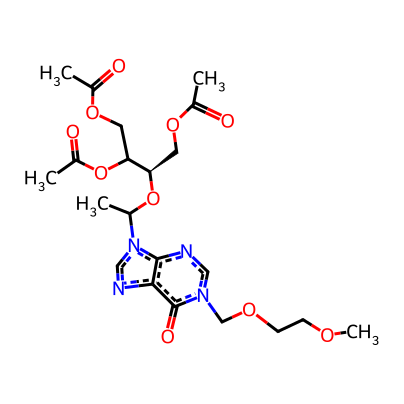 COCCOCn1cnc2c(ncn2C(C)O[C@H](COC(C)=O)C(COC(C)=O)OC(C)=O)c1=O